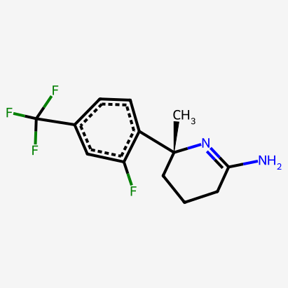 C[C@]1(c2ccc(C(F)(F)F)cc2F)CCCC(N)=N1